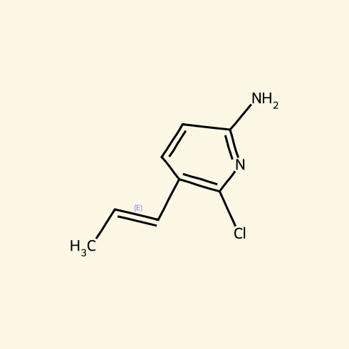 C/C=C/c1ccc(N)nc1Cl